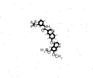 COc1cc2nccc(Oc3ccc4ncc(C(=O)Nc5cccc(OC(F)(F)F)c5)cc4c3)c2cc1OC